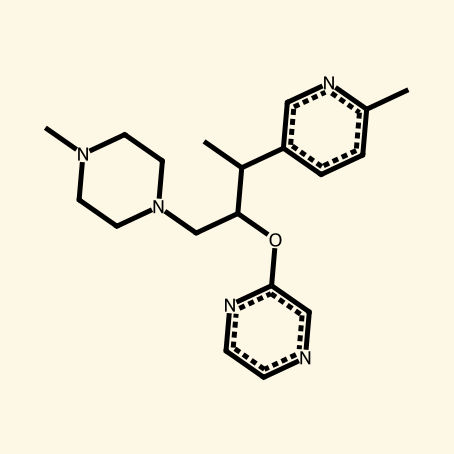 Cc1ccc(C(C)C(CN2CCN(C)CC2)Oc2cnccn2)cn1